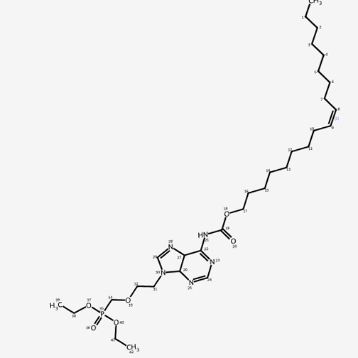 CCCCCCCC/C=C\CCCCCCCCOC(=O)NC1=NC=NC2C1N=CN2CCOCP(=O)(OCC)OCC